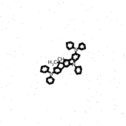 CC1(C)c2cc(N(c3ccccc3)c3ccccc3)ccc2-c2cc3c(cc21)c1cc(N(c2ccccc2)c2ccccc2)ccc1n3-c1ccccc1